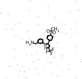 CS(=O)(=O)c1ccc(-c2cc(C(F)(F)F)nn2-c2cccc(CN)c2)cc1